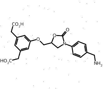 NCc1ccc(N2CC(COc3cc(CC(=O)O)cc(CC(=O)O)c3)OC2=O)cc1